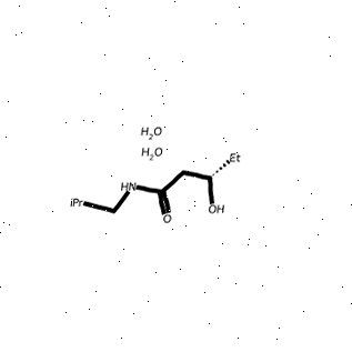 CC[C@H](O)CC(=O)NCC(C)C.O.O